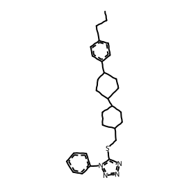 CCCc1ccc(C2CCC(C3CCC(CSc4nnnn4-c4ccccc4)CC3)CC2)cc1